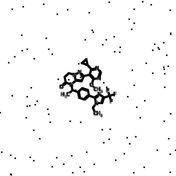 CCn1cc(C(F)(F)F)nc1-c1ccc([C@@H](C)N2C(=O)CCn3nc(-c4c(OC)ncnc4C4CC4)cc32)cc1